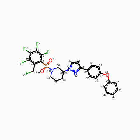 O=S(=O)(c1c(F)c(F)c(F)c(F)c1CF)N1CCC[C@H](n2ccc(-c3ccc(Oc4ccccc4)cc3)n2)C1